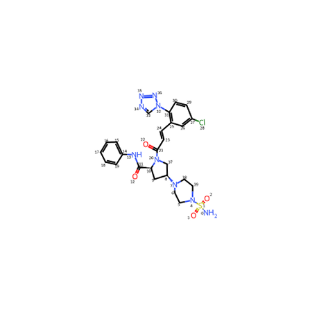 NS(=O)(=O)N1CCN([C@H]2C[C@@H](C(=O)Nc3ccccc3)N(C(=O)C=Cc3cc(Cl)ccc3-n3cnnn3)C2)CC1